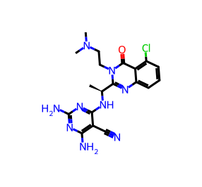 C[C@H](Nc1nc(N)nc(N)c1C#N)c1nc2cccc(Cl)c2c(=O)n1CCN(C)C